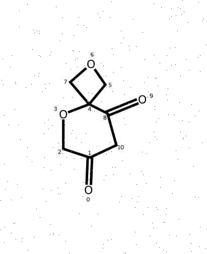 O=C1COC2(COC2)C(=O)C1